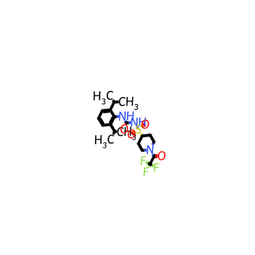 CC(C)c1cccc(C(C)C)c1NC(=O)NS(=O)(=O)C1CCN(C(=O)C(F)(F)F)CC1